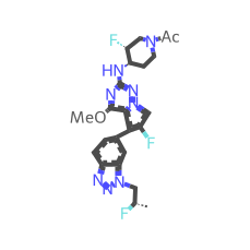 COc1nc(N[C@H]2CCN(C(C)=O)C[C@H]2F)nn2cc(F)c(-c3ccc4nnn(C[C@H](C)F)c4c3)c12